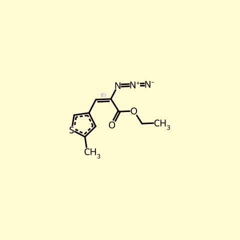 CCOC(=O)/C(=C\c1csc(C)c1)N=[N+]=[N-]